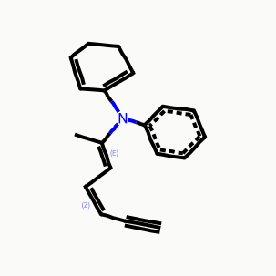 C#C/C=C\C=C(/C)N(C1=CCCC=C1)c1ccccc1